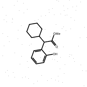 COC(=O)C(c1ccccc1O)C1CCCCC1